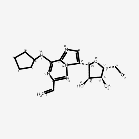 C=Cc1nc(NC2CCCC2)c2ncc([C@@H]3O[C@H](C[O])[C@@H](O)[C@H]3O)n2n1